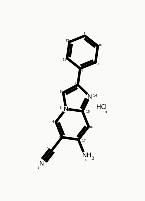 Cl.N#Cc1cn2cc(-c3ccccc3)nc2cc1N